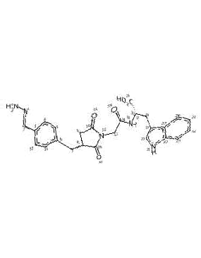 NN=Cc1ccc(CC2CC(=O)N(CC(=O)N[C@@H](Cc3c[nH]c4ccccc34)C(=O)O)C2=O)cc1